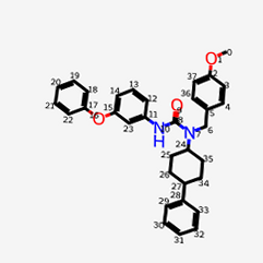 COc1ccc(CN(C(=O)Nc2cccc(Oc3ccccc3)c2)C2CCC(c3ccccc3)CC2)cc1